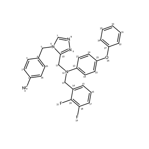 N#Cc1ccc(Cn2cnnc2CN(Cc2cccc(F)c2F)c2ccc(Oc3ccccc3)cc2)cc1